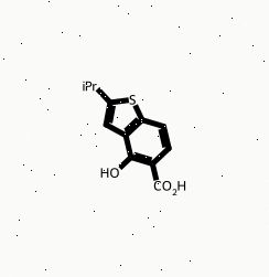 CC(C)c1cc2c(O)c(C(=O)O)ccc2s1